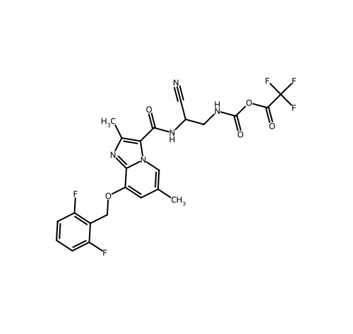 Cc1cc(OCc2c(F)cccc2F)c2nc(C)c(C(=O)NC(C#N)CNC(=O)OC(=O)C(F)(F)F)n2c1